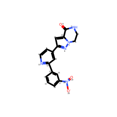 O=C1NCCn2nc(-c3ccnc(-c4cccc([N+](=O)[O-])c4)c3)cc21